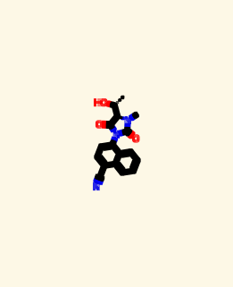 C[C@@H](O)[C@H]1C(=O)N(c2ccc(C#N)c3ccccc23)C(=O)N1C